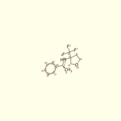 C[C@H](NC1(C(F)(F)F)CCOC1)c1ccccc1